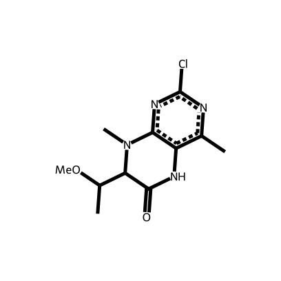 COC(C)C1C(=O)Nc2c(C)nc(Cl)nc2N1C